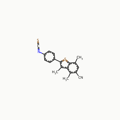 Cc1cc(C#N)c(C)c2c(C)c(-c3ccc(N=C=S)cc3)sc12